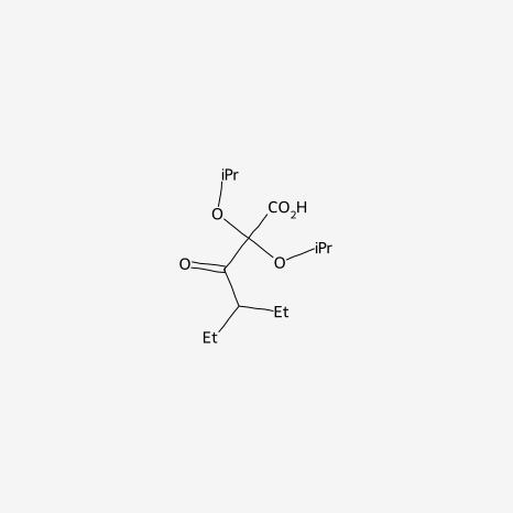 CCC(CC)C(=O)C(OC(C)C)(OC(C)C)C(=O)O